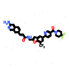 Nc1cc2ccc(/C=C/C(=O)NCc3cc4cc(-c5ccc(C(=O)N6CCC(F)(F)CC6)cn5)cc(C(F)(F)F)c4o3)cc2cn1